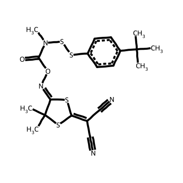 CN(SSc1ccc(C(C)(C)C)cc1)C(=O)ON=C1SC(=C(C#N)C#N)SC1(C)C